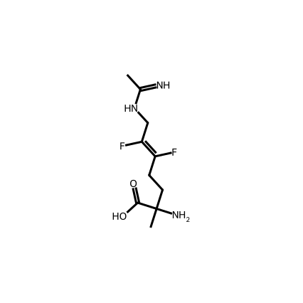 CC(=N)NCC(F)=C(F)CCC(C)(N)C(=O)O